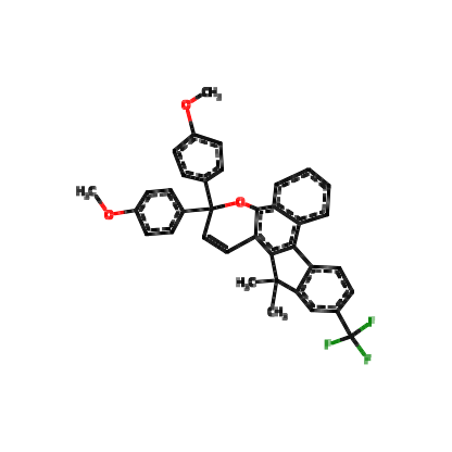 COc1ccc(C2(c3ccc(OC)cc3)C=Cc3c4c(c5ccccc5c3O2)-c2ccc(C(F)(F)F)cc2C4(C)C)cc1